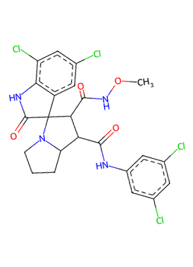 CONC(=O)C1C(C(=O)Nc2cc(Cl)cc(Cl)c2)C2CCCN2C12C(=O)Nc1c(Cl)cc(Cl)cc12